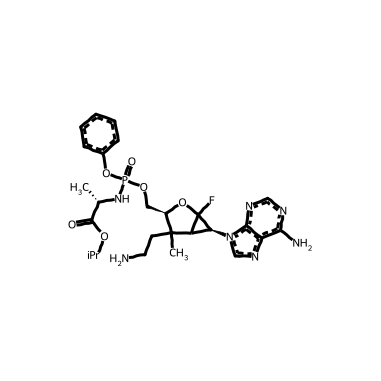 CC(C)OC(=O)[C@H](C)NP(=O)(OC[C@H]1OC2(F)C([C@@H]2n2cnc3c(N)ncnc32)C1(C)CCN)Oc1ccccc1